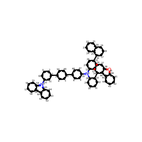 c1cc(-c2ccc(-c3ccc(N(c4ccc(-c5cccc6ccccc56)cc4)c4ccccc4-c4cccc5oc6ccccc6c45)cc3)cc2)cc(-n2c3ccccc3c3ccccc32)c1